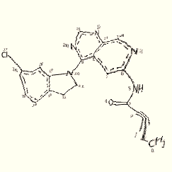 CC#CC(=O)Nc1cc2c(N3CCc4ccc(Cl)cc43)ncnc2cn1